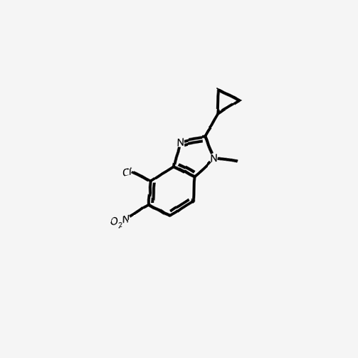 Cn1c(C2CC2)nc2c(Cl)c([N+](=O)[O-])ccc21